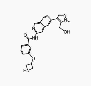 Cn1ncc(-c2ccc3cnc(NC(=O)c4cccc(OC5CNC5)c4)cc3c2)c1CO